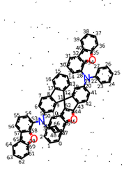 c1ccc(N(c2ccc3c(c2)C2(c4ccccc4-3)c3cc(N(c4ccccc4)c4cccc5c4oc4ccccc45)ccc3-c3oc4ccccc4c32)c2cccc3c2oc2ccccc23)cc1